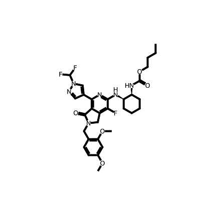 CCCCOC(=O)N[C@H]1CCCC[C@H]1Nc1nc(-c2cnn(C(F)F)c2)c2c(c1F)CN(Cc1ccc(OC)cc1OC)C2=O